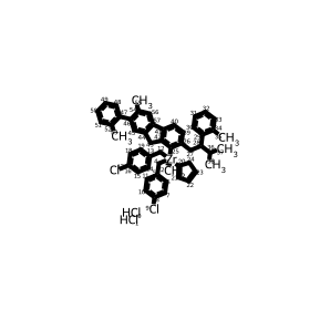 Cl.Cl.[CH2]=[Zr]([CH2]c1ccc(Cl)cc1)([CH2]c1ccc(Cl)cc1)([C]1=CC=CC1)[c]1c(CC(c2ccccc2C)C(C)C)ccc2c1Cc1cc(-c3ccccc3C)c(C)cc1-2